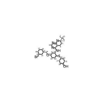 CC(C)(C)c1ccc2c(Nc3cc(OCc4cccc(Br)c4)ccc3Sc3ccc(O)cc3)ncnc2n1